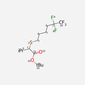 CC(C)C(SCCCCC(F)(F)C(F)(F)F)C(=O)OC(C)(C)C